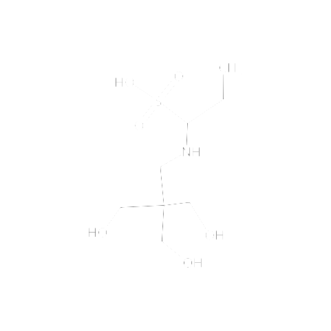 CCC(NCC(CO)(CO)CO)S(=O)(=O)O